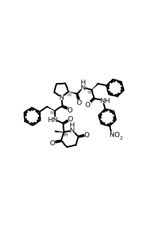 C[C@@]1(C(=O)N[C@@H](Cc2ccccc2)C(=O)N2CCC[C@H]2C(=O)N[C@@H](Cc2ccccc2)C(=O)Nc2ccc([N+](=O)[O-])cc2)NC(=O)CCC1=O